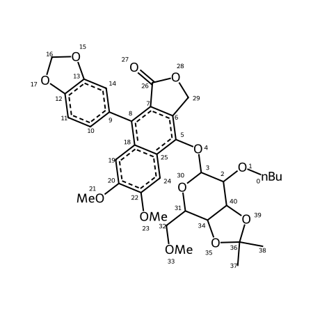 CCCCOC1C(Oc2c3c(c(-c4ccc5c(c4)OCO5)c4cc(OC)c(OC)cc24)C(=O)OC3)OC(COC)C2OC(C)(C)OC21